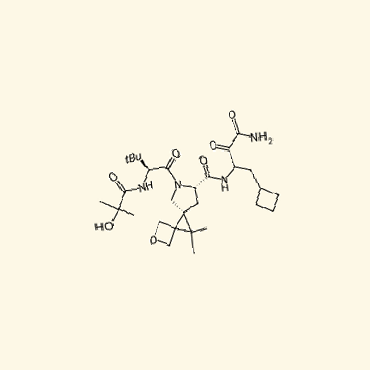 CC(C)(O)C(=O)N[C@H](C(=O)N1C[C@]2(C[C@H]1C(=O)NC(CC1CCC1)C(=O)C(N)=O)C(C)(C)C21COC1)C(C)(C)C